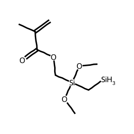 C=C(C)C(=O)OC[Si](C[SiH3])(OC)OC